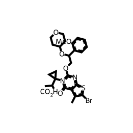 COc1ccccc1C(COc1nc2sc(Br)c(C)c2c(=O)n1C1(C(C)C(=O)O)CC1)OC1CCOCC1